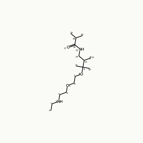 CCNCCOCCOC(C)(C)C(F)CNC(=O)C(C)C